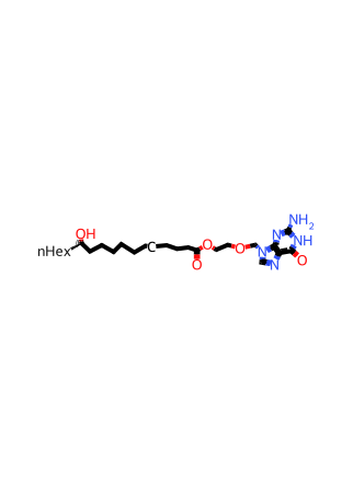 CCCCCC[C@@H](O)CCCCCCCCCCC(=O)OCCOCn1cnc2c(=O)[nH]c(N)nc21